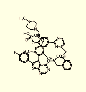 Cc1cc(OCCN2CCN(C)CC2)cc(C)c1-c1c(-c2ccc(F)cc2)sc2ncnc(O[C@H](Cc3ccccc3OCc3ccnc(-c4ccc(OP(=O)(O)O)cc4)n3)C(=O)O)c12